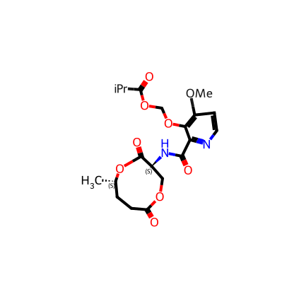 COc1ccnc(C(=O)N[C@H]2COC(=O)CC[C@H](C)OC2=O)c1OCOC(=O)C(C)C